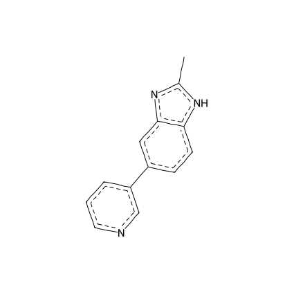 Cc1nc2cc(-c3cccnc3)ccc2[nH]1